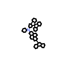 c1ccc(N(c2ccc3c(c2)C2(c4ccccc4-c4ccccc42)c2ccccc2-3)c2cc3ccc4cc(-c5cc6ccccc6c6ccccc56)cc5ccc(c2)c3c45)cc1